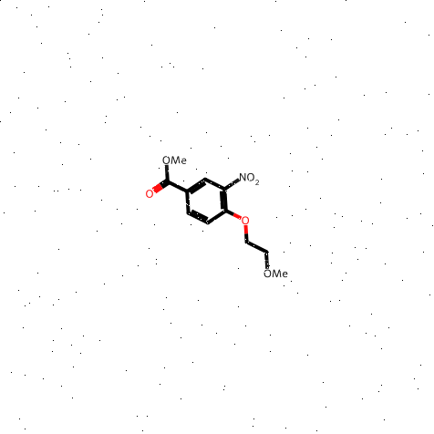 COCCOc1ccc(C(=O)OC)cc1[N+](=O)[O-]